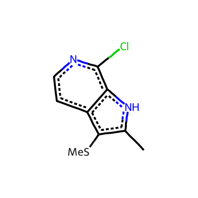 CSc1c(C)[nH]c2c(Cl)nccc12